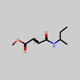 CCC(C)NC(=O)/C=C/C(=O)OC